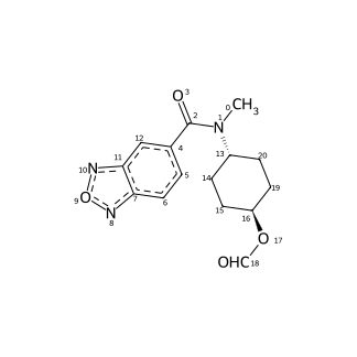 CN(C(=O)c1ccc2nonc2c1)[C@H]1CC[C@H](OC=O)CC1